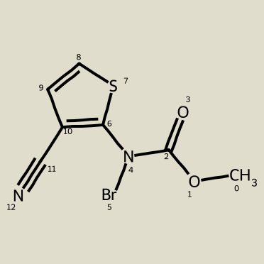 COC(=O)N(Br)c1sccc1C#N